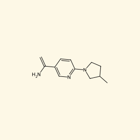 C=C(N)c1ccc(N2CCC(C)C2)nc1